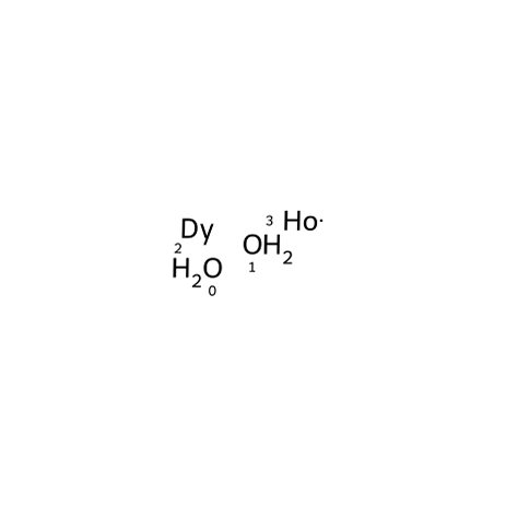 O.O.[Dy].[Ho]